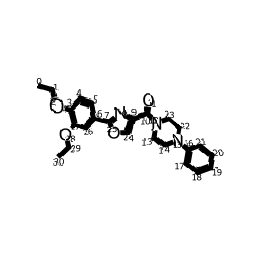 CCOc1ccc(-c2nc(C(=O)N3CCN(c4cc[c]cc4)CC3)co2)cc1OCC